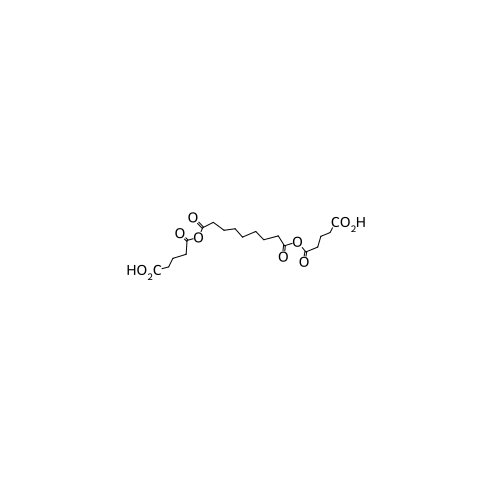 O=C(O)CCCC(=O)OC(=O)CCCCCCCC(=O)OC(=O)CCCC(=O)O